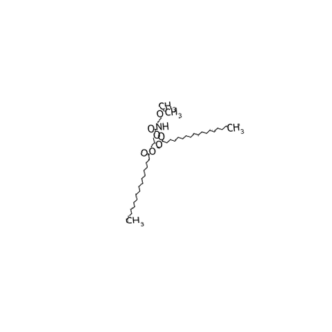 CCCCCCCCCCCCCCCCCC(=O)OCC(COC(=O)NCCOC(C)C)OC(=O)CCCCCCCCCCCCCCCCC